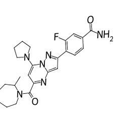 CC1CCCCCN1C(=O)c1cc(N2CCCC2)n2nc(-c3ccc(C(N)=O)cc3F)cc2n1